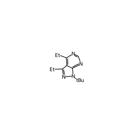 CCc1ncnc2c1c(CC)nn2C(C)(C)C